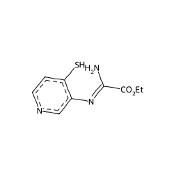 CCOC(=O)/C(N)=N/c1cnccc1S